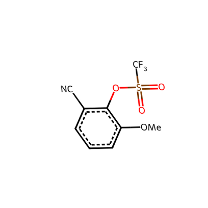 COc1cccc(C#N)c1OS(=O)(=O)C(F)(F)F